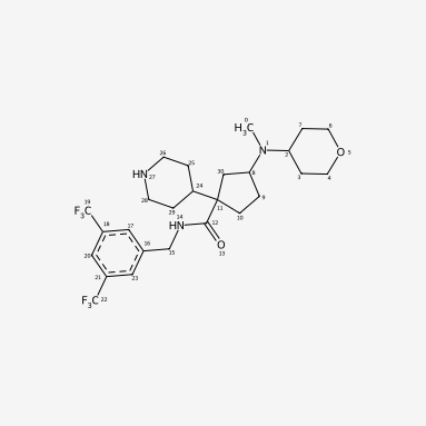 CN(C1CCOCC1)C1CCC(C(=O)NCc2cc(C(F)(F)F)cc(C(F)(F)F)c2)(C2CCNCC2)C1